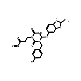 CC1NC2C=CC(NC3NC(=O)N(CCC(=O)N=O)C(=O)N3Cc3ccc(Cl)cc3)=CC2S1